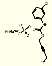 O=C(Nc1cccc(Cl)c1)OCC#CCCl.O=P([O-])([O-])[O-].[Na+].[Na+].[Na+]